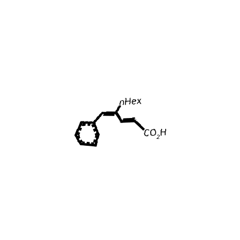 CCCCCCC(C=CC(=O)O)=Cc1ccccc1